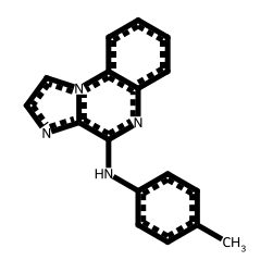 Cc1ccc(Nc2nc3ccccc3n3ccnc23)cc1